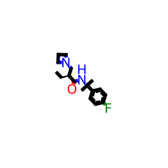 CC[C@@H](CN1CCC1)C(=O)NC(C)(C)c1ccc(F)cc1